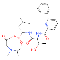 CC(C)C[C@H](NC(=O)[C@@H](NC(=O)c1cccc(-c2ccccc2)n1)[C@@H](C)O)B1OCC(C)N(C)CC(=O)O1